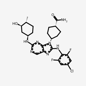 C[C@@H]1CC[C@@H](Nc2ncc3nc(Nc4c(F)cc(Cl)cc4F)n([C@H]4CC[C@@H](C(N)=O)CC4)c3n2)C[C@H]1O